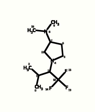 CC(C)C(N1CCC(N(C)C)C1)C(F)(F)F